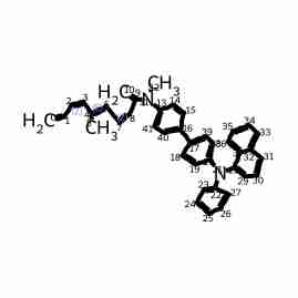 C=C\C=C/C(C)=C/C=C\C(=C)N(C)c1ccc(-c2ccc(N(c3ccccc3)c3cccc4ccccc34)cc2)cc1